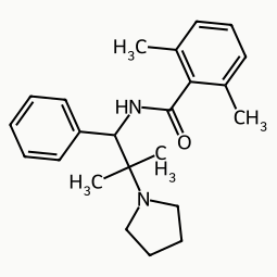 Cc1cccc(C)c1C(=O)NC(c1ccccc1)C(C)(C)N1CCCC1